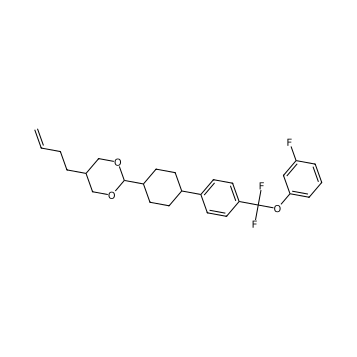 C=CCCC1COC(C2CCC(c3ccc(C(F)(F)Oc4cccc(F)c4)cc3)CC2)OC1